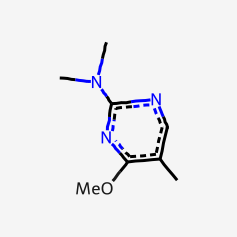 COc1nc(N(C)C)ncc1C